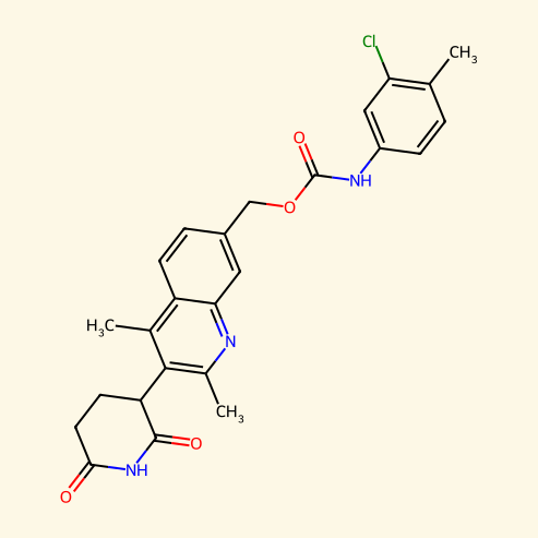 Cc1ccc(NC(=O)OCc2ccc3c(C)c(C4CCC(=O)NC4=O)c(C)nc3c2)cc1Cl